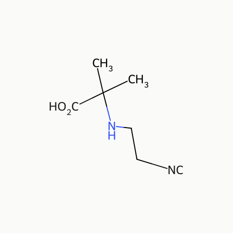 [C-]#[N+]CCNC(C)(C)C(=O)O